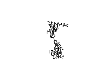 CC[C@H](NC(C)=O)C(=O)N1CCCC1c1ncc(-c2ccc(-c3ccc4nc(-c5cnc([C@@H]6CCCN6C(=O)[C@@H](NC(=O)OC)C(C)C)[nH]5)sc4c3)cc2)[nH]1